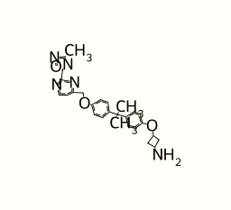 Cc1noc(-c2nccc(COc3ccc(C(C)(C)c4ccc(OC5CC(N)C5)cc4)cc3)n2)n1